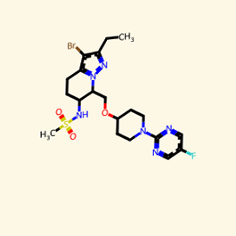 CCc1nn2c(c1Br)CCC(NS(C)(=O)=O)C2COC1CCN(c2ncc(F)cn2)CC1